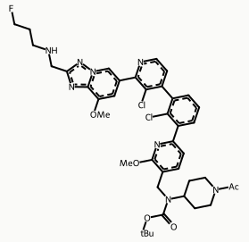 COc1nc(-c2cccc(-c3ccnc(-c4cc(OC)c5nc(CNCCCF)nn5c4)c3Cl)c2Cl)ccc1CN(C(=O)OC(C)(C)C)C1CCN(C(C)=O)CC1